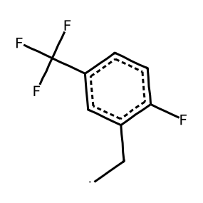 [CH2]Cc1cc(C(F)(F)F)ccc1F